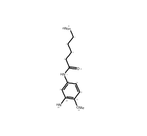 CCCCCCCCCCCCCC(=O)Nc1ccc(OC)c([NH])c1